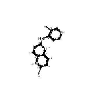 Cc1cnccc1Nc1ccc2nc(F)ccc2n1